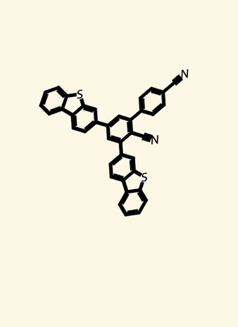 N#Cc1ccc(-c2cc(-c3ccc4c(c3)sc3ccccc34)cc(-c3ccc4c(c3)sc3ccccc34)c2C#N)cc1